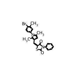 Cc1cc(-n2c(C)cc(C=C3SC(=O)N(c4ccccc4)C3=O)c2C)ccc1Br